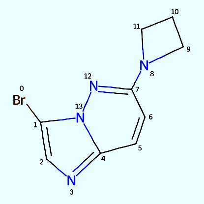 Brc1cnc2ccc(N3CCC3)nn12